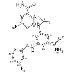 Cc1cc2c(C(N)=O)cc(F)cc2n1-c1nc(NCc2cccc(F)c2)nc(C(N)=O)n1